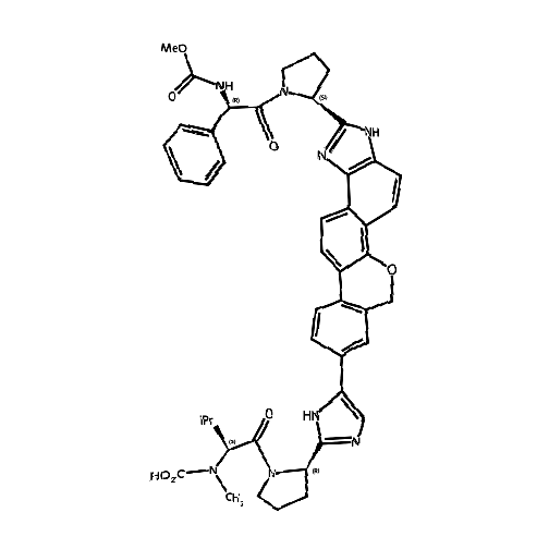 COC(=O)N[C@@H](C(=O)N1CCC[C@H]1c1nc2c(ccc3c4c(ccc32)-c2ccc(-c3cnc([C@H]5CCCN5C(=O)[C@H](C(C)C)N(C)C(=O)O)[nH]3)cc2CO4)[nH]1)c1ccccc1